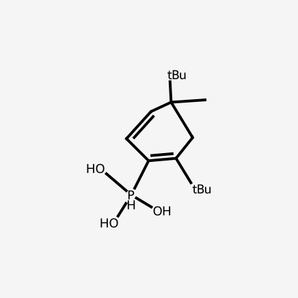 CC(C)(C)C1=C([PH](O)(O)O)C=CC(C)(C(C)(C)C)C1